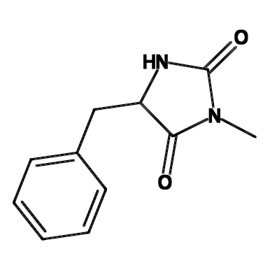 CN1C(=O)NC(Cc2ccccc2)C1=O